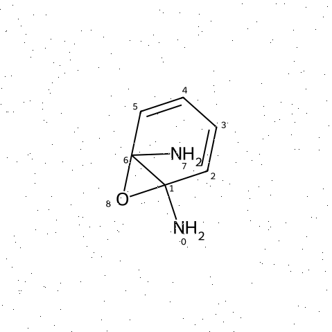 NC12C=CC=CC1(N)O2